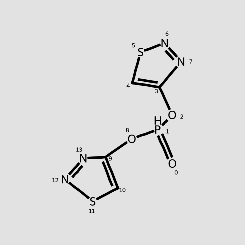 O=[PH](Oc1csnn1)Oc1csnn1